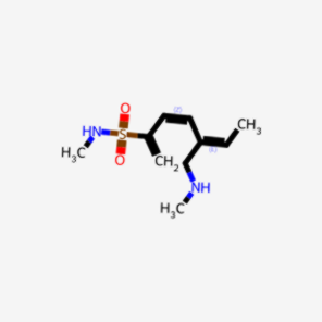 C=C(/C=C\C(=C/C)CNC)S(=O)(=O)NC